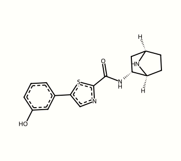 O=C(N[C@@H]1C[C@H]2CC[C@@H]1N2)c1ncc(-c2cccc(O)c2)s1